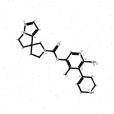 Cc1c(OC(=O)N2CCC3(CCn4nccc43)C2)cnc(N)c1C1=CCNCC1